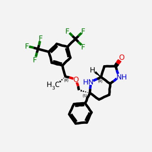 C[C@@H](OC[C@@]1(c2ccccc2)CCC2NC(=O)C[C@H]2N1)c1cc(C(F)(F)F)cc(C(F)(F)F)c1